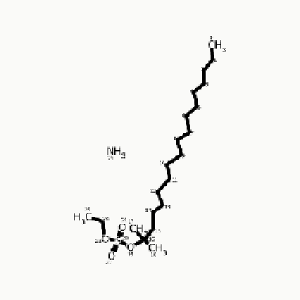 CCCCCCCCCCCCCCCCC(C)(C)OS(=O)(=O)OCC.N